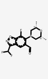 C[C@@H]1CN(c2c(C=O)cc3c(C(F)F)noc3c2F)C[C@H](C)O1